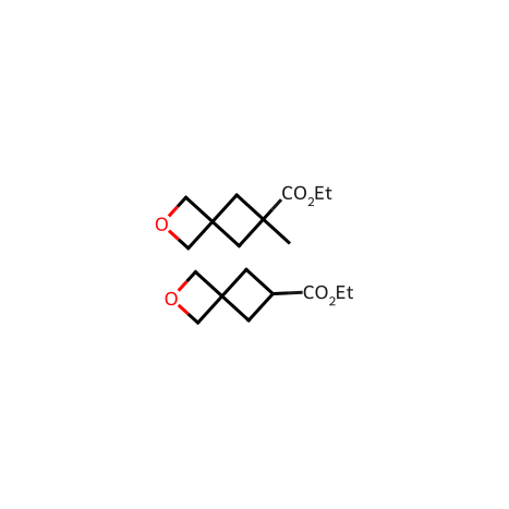 CCOC(=O)C1(C)CC2(COC2)C1.CCOC(=O)C1CC2(COC2)C1